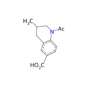 CC(=O)N1CC(C)Cc2cc(C(=O)O)ccc21